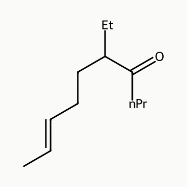 CC=CCCC(CC)C(=O)CCC